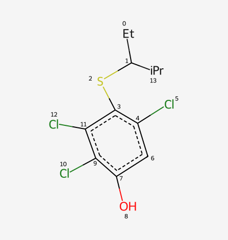 CCC(Sc1c(Cl)cc(O)c(Cl)c1Cl)C(C)C